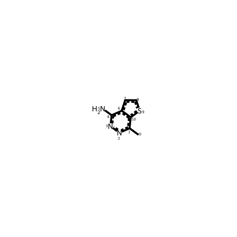 Cc1nnc(N)c2ccsc12